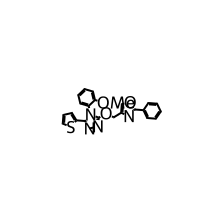 COc1ccccc1-n1c(OCc2coc(-c3ccccc3)n2)nnc1-c1cccs1